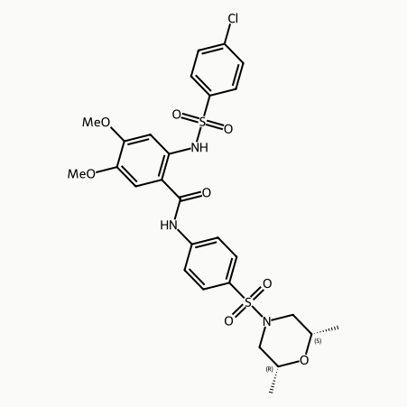 COc1cc(NS(=O)(=O)c2ccc(Cl)cc2)c(C(=O)Nc2ccc(S(=O)(=O)N3C[C@@H](C)O[C@@H](C)C3)cc2)cc1OC